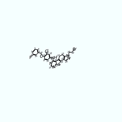 Fc1cccc(COc2ccc(Nc3ncnc4sc5c(c34)CCc3c-5cnn3CCBr)cc2Cl)c1